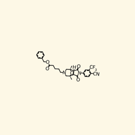 C[C@]12CN(CCCCC(=O)OCc3ccccc3)C[C@](C)(O1)C1C(=O)N(c3ccc(C#N)c(C(F)(F)F)c3)C(=O)[C@H]12